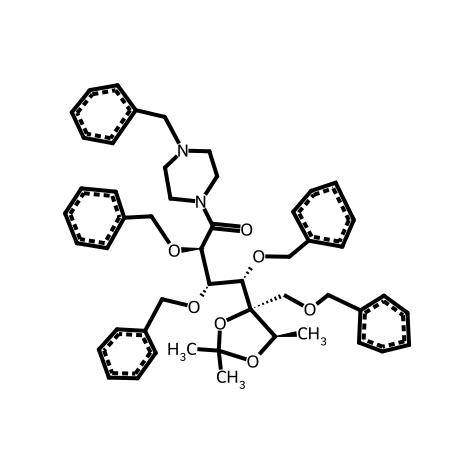 C[C@H]1OC(C)(C)O[C@@]1(COCc1ccccc1)[C@@H](OCc1ccccc1)[C@H](OCc1ccccc1)[C@@H](OCc1ccccc1)C(=O)N1CCN(Cc2ccccc2)CC1